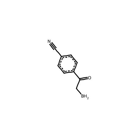 BCC(=O)c1ccc(C#N)cc1